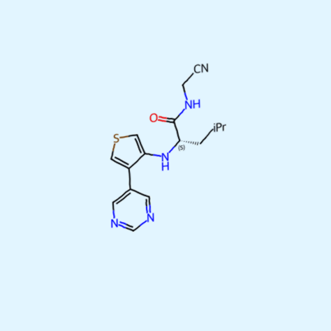 CC(C)C[C@H](Nc1cscc1-c1cncnc1)C(=O)NCC#N